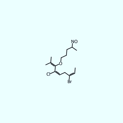 C/C=C(/Br)C/C=C(/Cl)C(OCCCC(C)N=O)=C(C)C